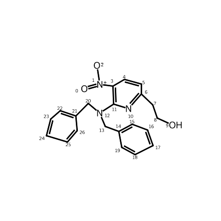 O=[N+]([O-])c1ccc(CCO)nc1N(Cc1ccccc1)Cc1ccccc1